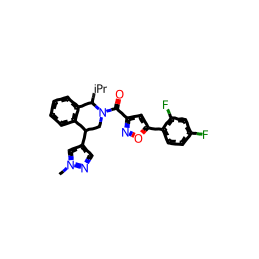 CC(C)C1c2ccccc2C(c2cnn(C)c2)CN1C(=O)c1cc(-c2ccc(F)cc2F)on1